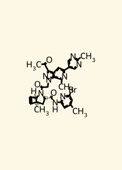 CC(=O)c1nn(CC(=O)N2[C@H](C(=O)Nc3cc(C)cc(Br)n3)C[C@@]3(C)C#C[C@@H]23)c2c(C)nc(-c3cnc(C)nc3)cc12